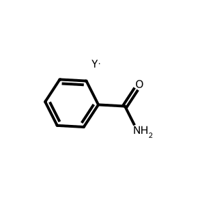 NC(=O)c1ccccc1.[Y]